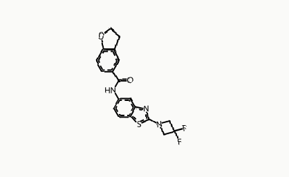 O=C(Nc1ccc2sc(N3CC(F)(F)C3)nc2c1)c1ccc2c(c1)CCO2